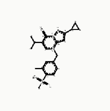 Cc1cc(Cn2cc(C(C)C)c(=O)n3nc(C4CC4)cc23)ccc1[S@@](C)(=N)=O